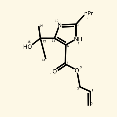 C=CCOC(=O)c1[nH]c(CCC)nc1C(C)(C)O